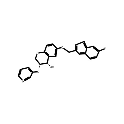 O[C@H]1c2cc(OCc3ccc4cc(F)ccc4c3)ccc2OC[C@H]1Oc1cccnc1